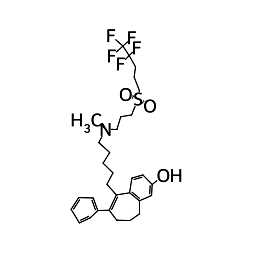 CN(CCCCCC1=C(c2ccccc2)CCCc2cc(O)ccc21)CCCS(=O)(=O)CCCC(F)(F)C(F)(F)F